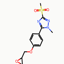 Cn1nc(S(C)(=O)=O)nc1-c1ccc(OCC2CO2)cc1